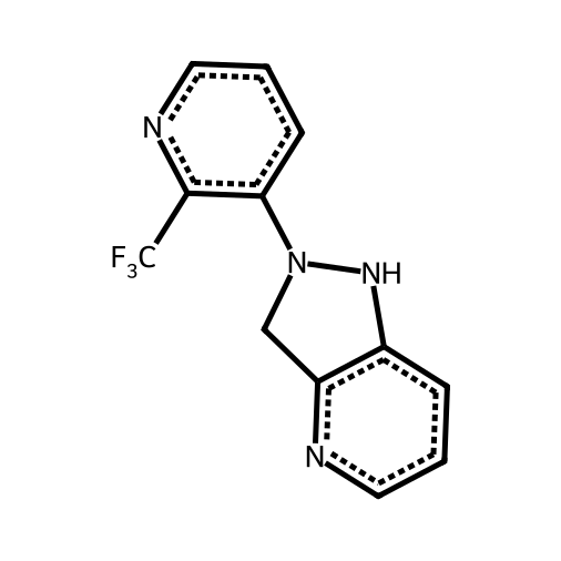 FC(F)(F)c1ncccc1N1Cc2ncccc2N1